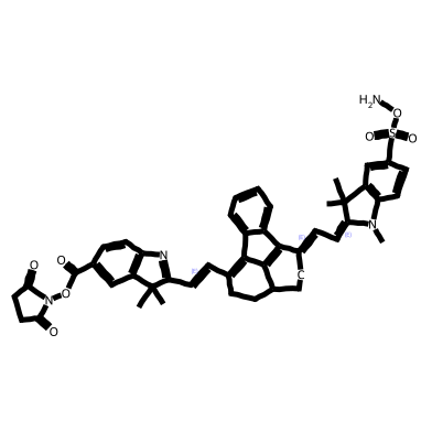 CN1/C(=C/C=C2\CCC3CCC(/C=C/C4=Nc5ccc(C(=O)ON6C(=O)CCC6=O)cc5C4(C)C)=C4C3=C2c2ccccc24)C(C)(C)c2cc(S(=O)(=O)ON)ccc21